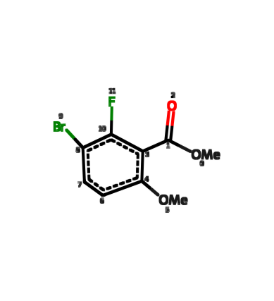 COC(=O)c1c(OC)ccc(Br)c1F